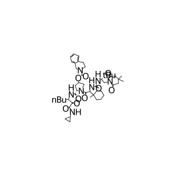 CCCCC(NC(=O)[C@@H]1C[C@@H](OC(=O)N2CCc3ccccc3C2)CN1C(=O)[C@@H](NC(=O)N[C@H](CN1C(=O)CC(C)(C)CC1=O)C(C)(C)C)C1(C)CCCCC1)C(=O)C(=O)NC1CC1